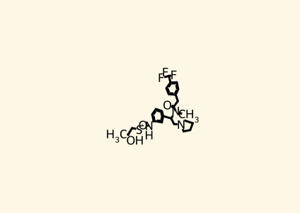 CC(O)CSONc1cccc(C(CN2CCCC2)N(C)C(=O)Cc2ccc(C(F)(F)F)cc2)c1